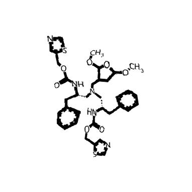 COC1CC(CN(C[C@H](Cc2ccccc2)NC(=O)OCc2cncs2)C[C@H](Cc2ccccc2)NC(=O)OCc2cncs2)C(OC)O1